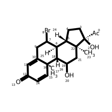 CC(=O)[C@@]1(O)CC[C@H]2[C@@H]3C(Br)CC4=CC(=O)C=C[C@]4(C)[C@H]3C(O)C[C@@]21C